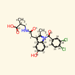 Cc1c(CC(=O)NCC(C)C(=O)O)c2cc(O)ccc2n1C(=O)c1ccc(Cl)c(Cl)c1